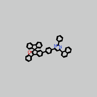 c1ccc(-c2nc(-c3ccc(-c4ccc5c(c4)C4(c6ccccc6-c6ccccc64)c4oc6ccccc6c4-5)cc3)cc(-c3cccc4ccccc34)n2)cc1